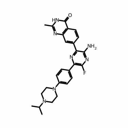 Cc1nc2cc(-c3nc(-c4ccc(N5CCN(C(C)C)CC5)cc4)c(F)nc3N)ccc2c(=O)[nH]1